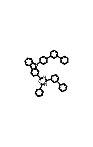 c1ccc(-c2cccc(-c3ccc(-n4c5ccccc5c5ccc(-c6nc(-c7ccccc7)nc(-c7cccc(-c8ccccc8)c7)n6)cc54)cc3)c2)cc1